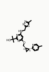 Cc1ccc([C@@H]2C[C@H]2COc2cc(NCc3nnc(C)s3)nc(C(C)(C)O)n2)nc1